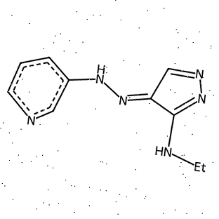 CCNC1=NN=C/C1=N\Nc1cccnc1